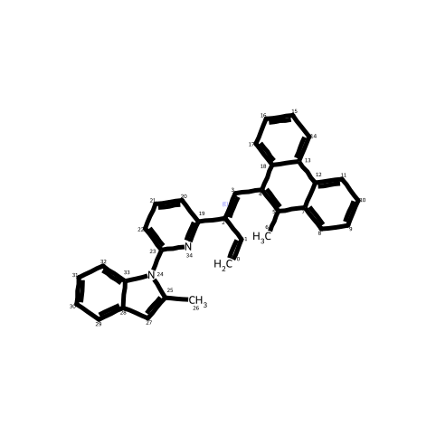 C=C/C(=C\c1c(C)c2ccccc2c2ccccc12)c1cccc(-n2c(C)cc3ccccc32)n1